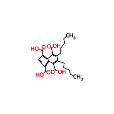 CCCCCc1c(CCCCC)c(C(=O)O)c2c(C(=O)O)ccc(C(=O)O)c2c1C(=O)O